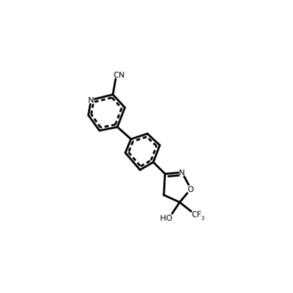 N#Cc1cc(-c2ccc(C3=NOC(O)(C(F)(F)F)C3)cc2)ccn1